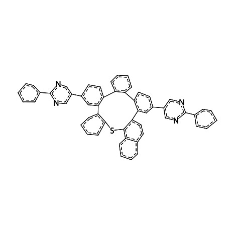 c1ccc(-c2ncc(-c3ccc4c(c3)-c3ccccc3Sc3c(ccc5ccccc35)-c3cc(-c5cnc(-c6ccccc6)nc5)ccc3-c3ccccc3-4)cn2)cc1